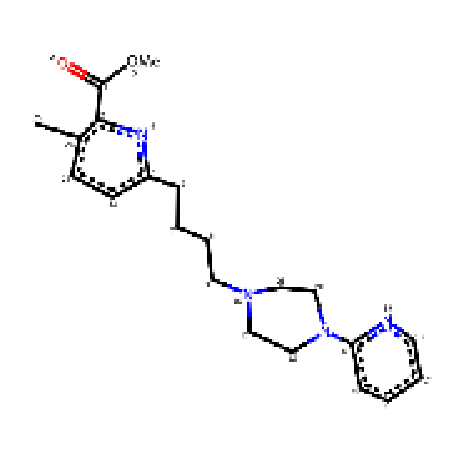 COC(=O)c1nc(CCCCN2CCN(c3ccccn3)CC2)ccc1C